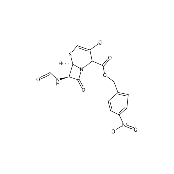 O=CN[C@@H]1C(=O)N2C(C(=O)OCc3ccc([N+](=O)[O-])cc3)C(Cl)=CS[C@H]12